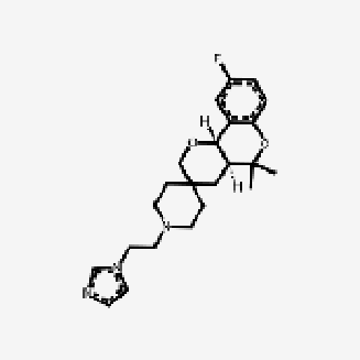 CC1(C)Oc2ccc(F)cc2[C@H]2OCC3(CCN(CCn4ccnc4)CC3)C[C@@H]21